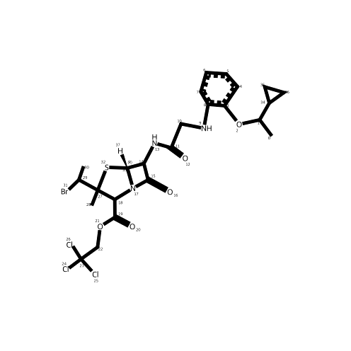 CC(Oc1ccccc1NCC(=O)NC1C(=O)N2C(C(=O)OCC(Cl)(Cl)Cl)C(C)(C(C)Br)S[C@H]12)C1CC1